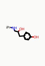 CC(C)NCC(O)Cc1ccc(O)cc1